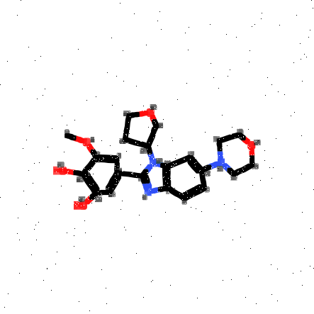 COc1cc(-c2nc3ccc(N4CCOCC4)cc3n2C2CCOC2)cc(O)c1O